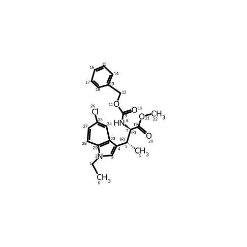 CCn1cc([C@@H](C)[C@@H](NC(=O)OCc2ccccc2)C(=O)OC)c2cc(Cl)ccc21